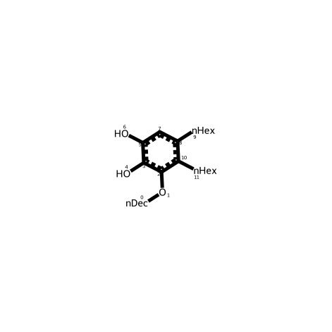 CCCCCCCCCCOc1c(O)c(O)cc(CCCCCC)c1CCCCCC